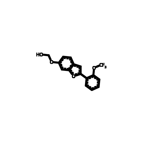 OCOc1ccc2cc(-c3ccccc3OC(F)(F)F)oc2c1